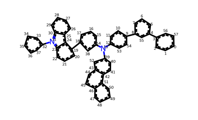 c1ccc(-c2cccc(-c3ccc(N(c4cccc(-c5cccc6c5c5ccccc5n6-c5ccccc5)c4)c4ccc5c(ccc6ccccc65)c4)cc3)c2)cc1